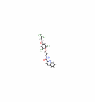 O=C(NCCCOc1c(Cl)cc(OCC=C(Cl)Cl)cc1Cl)c1ccc2ccccc2n1